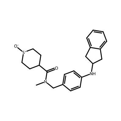 CN(Cc1ccc(NC2Cc3ccccc3C2)cc1)C(=O)C1CC[S+]([O-])CC1